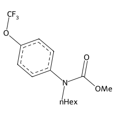 CCCCCCN(C(=O)OC)c1ccc(OC(F)(F)F)cc1